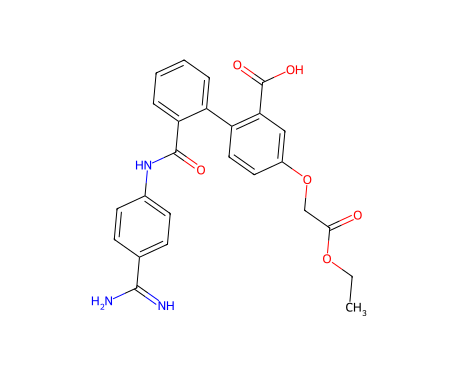 CCOC(=O)COc1ccc(-c2ccccc2C(=O)Nc2ccc(C(=N)N)cc2)c(C(=O)O)c1